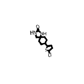 O=C1NCC2(CCC(c3ccc(Cl)s3)CC2)N1